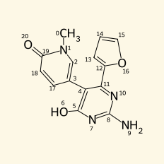 Cn1cc(-c2c(O)nc(N)nc2-c2ccco2)ccc1=O